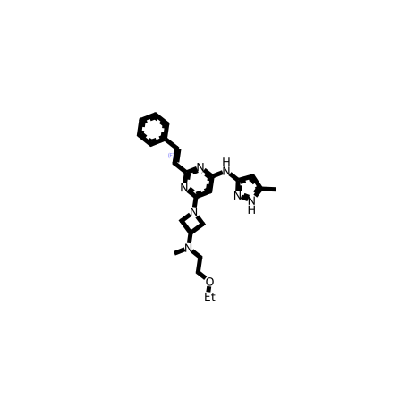 CCOCCN(C)C1CN(c2cc(Nc3cc(C)[nH]n3)nc(/C=C/c3ccccc3)n2)C1